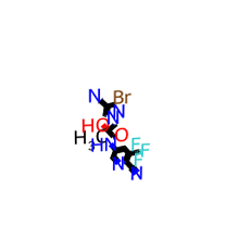 CC(O)(Cn1cc(C#N)c(Br)n1)C(=O)Nc1cnc(C#N)c(C(F)(F)F)c1